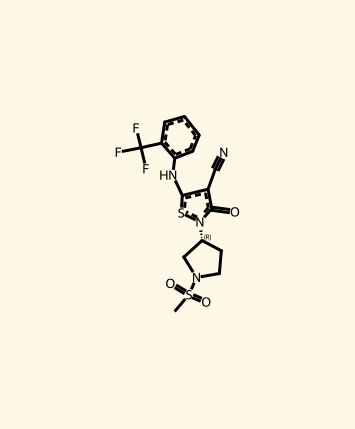 CS(=O)(=O)N1CC[C@@H](n2sc(Nc3ccccc3C(F)(F)F)c(C#N)c2=O)C1